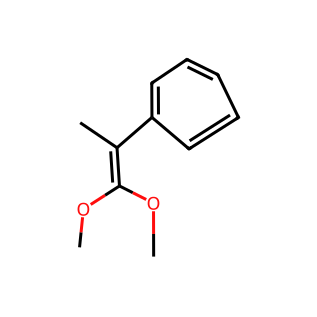 COC(OC)=C(C)c1ccccc1